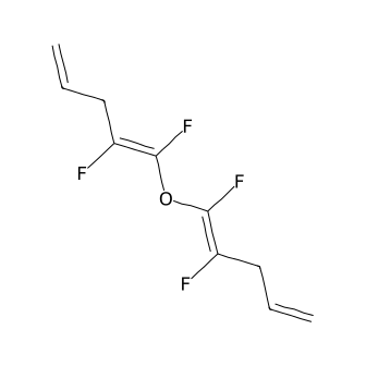 C=CC/C(F)=C(\F)O/C(F)=C(\F)CC=C